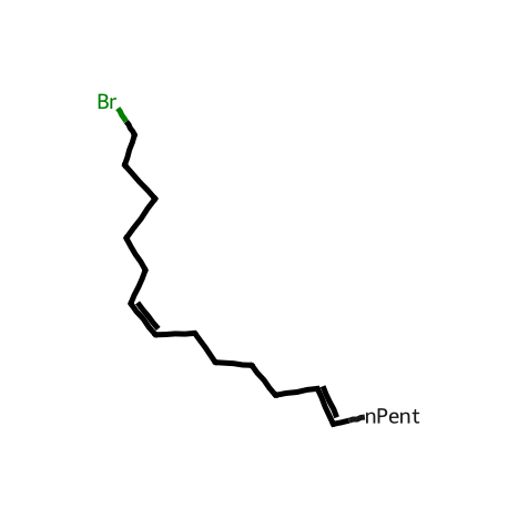 CCCCCC=CCCCC/C=C\CCCCCBr